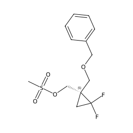 CS(=O)(=O)OC[C@@]1(COCc2ccccc2)CC1(F)F